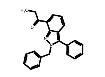 CCC(=O)c1cccc2c(-c3ccccc3)n(Cc3ccccc3)nc12